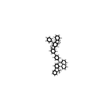 CC1(C)c2ccccc2-c2ccc(N(C3=CC=CC4C=CC=CC34)c3ccc(-c4ccc5oc6c(-c7ccccc7)c7c(cc6c5c4)oc4ccccc47)cc3)cc21